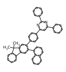 CC1(C)c2ccccc2-c2cc(-c3cccc4ccccc34)c(-c3ccc(-c4cc(-c5ccccc5)nc(-c5ccccc5)n4)cc3)cc21